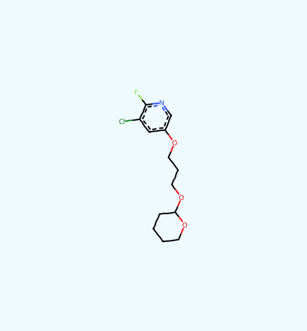 Fc1ncc(OCCCOC2CCCCO2)cc1Cl